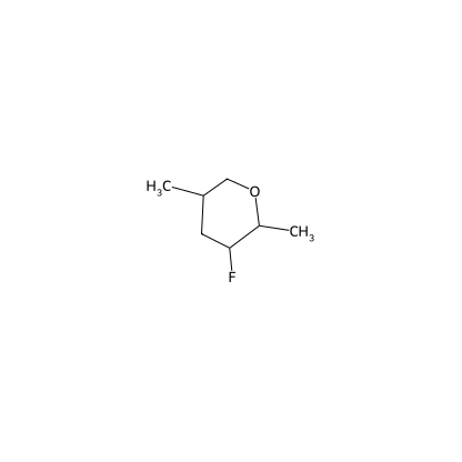 CC1COC(C)C(F)C1